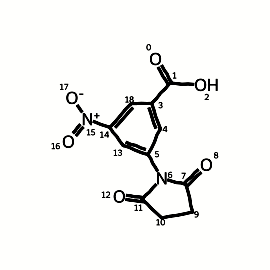 O=C(O)c1cc(N2C(=O)CCC2=O)cc([N+](=O)[O-])c1